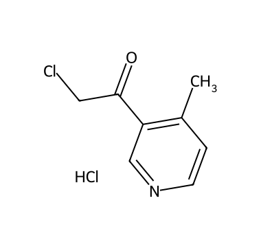 Cc1ccncc1C(=O)CCl.Cl